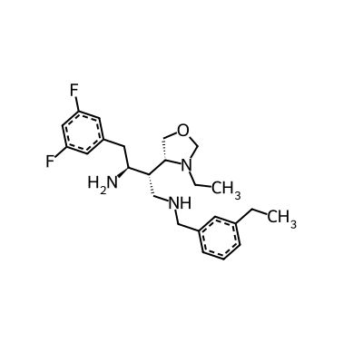 CCc1cccc(CNC[C@H]([C@@H](N)Cc2cc(F)cc(F)c2)[C@@H]2COCN2CC)c1